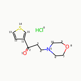 Cl.O=C(CCN1CCOCC1)c1ccsc1